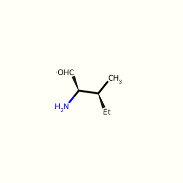 CC[C@H](C)[C@@H](N)[C]=O